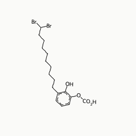 O=C(O)Oc1cccc(CCCCCCCCCC(Br)Br)c1O